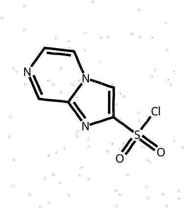 O=S(=O)(Cl)c1cn2ccncc2n1